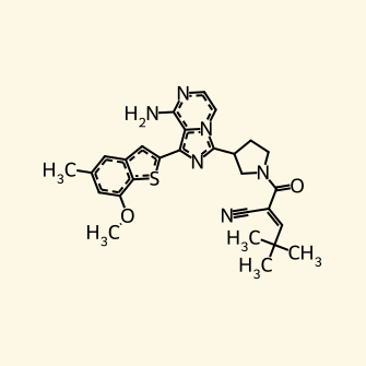 COc1cc(C)cc2cc(-c3nc(C4CCN(C(=O)C(C#N)=CC(C)(C)C)C4)n4ccnc(N)c34)sc12